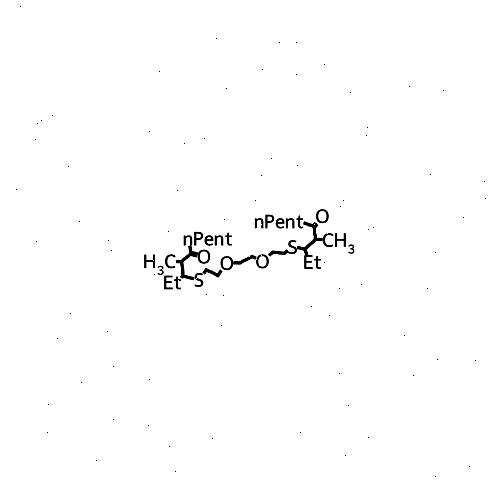 CCCCCC(=O)C(C)C(CC)SCCOCCOCCSC(CC)C(C)C(=O)CCCCC